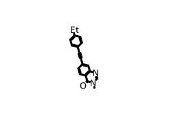 CCc1ccc(C#Cc2ccc3c(=O)n(C)cnc3c2)cc1